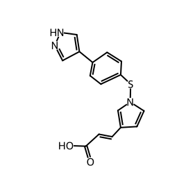 O=C(O)C=Cc1ccn(Sc2ccc(-c3cn[nH]c3)cc2)c1